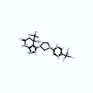 O=C1CC(O)(C(F)(F)F)c2c([C@H]3CCN(c4cnc(C(F)(F)F)cn4)C3)n[nH]c2N1